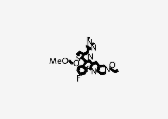 C=CC(=O)N1CCc2ncc(-c3nc(-c4cn(C)cn4)c4ccsc4c3-c3c(F)cc(F)cc3OCCOC)cc2C1